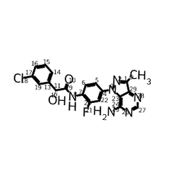 Cc1nn(-c2ccc(NC(=O)[C@H](O)c3cccc(Cl)c3)c(F)c2)c2c(N)ncnc12